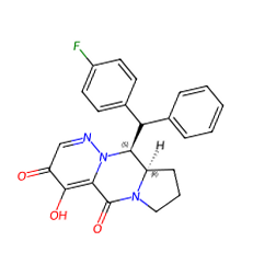 O=C1c2c(O)c(=O)cnn2[C@@H](C(c2ccccc2)c2ccc(F)cc2)[C@H]2CCCN12